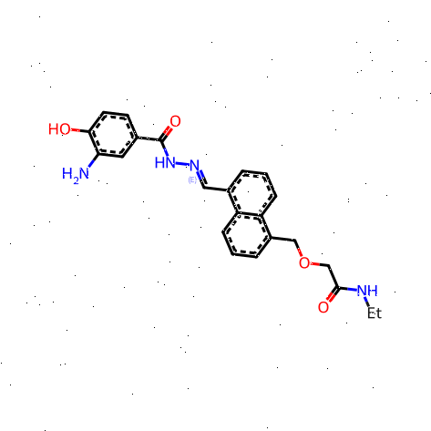 CCNC(=O)COCc1cccc2c(/C=N/NC(=O)c3ccc(O)c(N)c3)cccc12